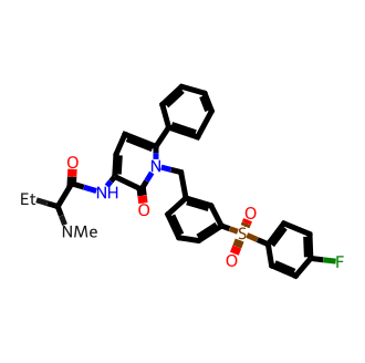 CCC(NC)C(=O)Nc1ccc(-c2ccccc2)n(Cc2cccc(S(=O)(=O)c3ccc(F)cc3)c2)c1=O